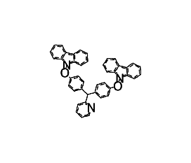 c1ccc(C(c2ccc(On3c4ccccc4c4ccccc43)cc2)c2ccc(On3c4ccccc4c4ccccc43)cc2)nc1